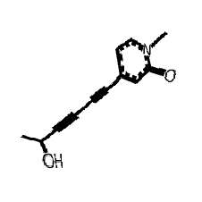 CC(O)C#CC#Cc1ccn(C)c(=O)c1